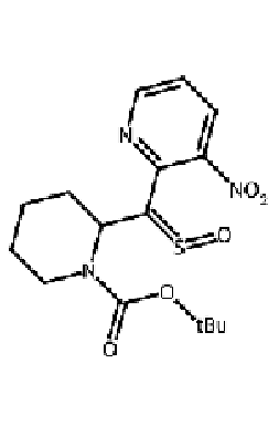 CC(C)(C)OC(=O)N1CCCCC1C(=S=O)c1ncccc1[N+](=O)[O-]